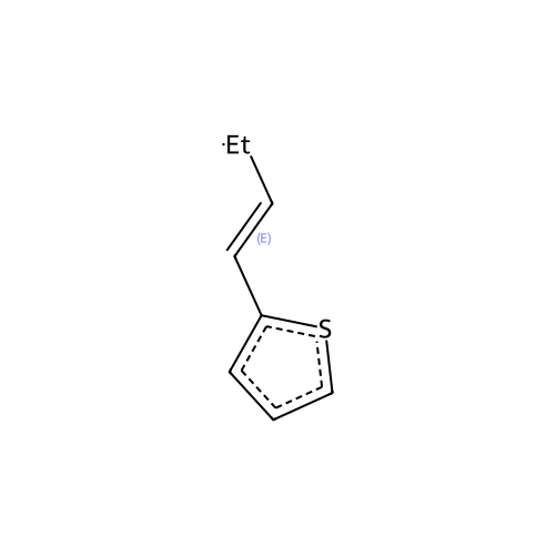 C[CH]/C=C/c1cccs1